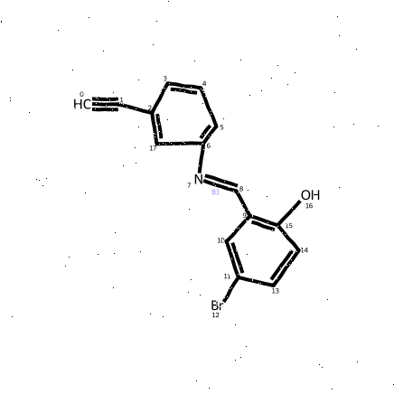 C#Cc1cccc(/N=C/c2cc(Br)ccc2O)c1